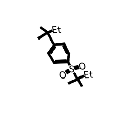 CCC(C)(C)c1ccc(S(=O)(=O)C(C)(C)CC)cc1